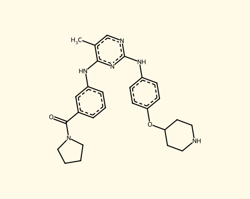 Cc1cnc(Nc2ccc(OC3CCNCC3)cc2)nc1Nc1cccc(C(=O)N2CCCC2)c1